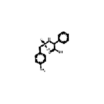 Cc1ccc(CP(=O)(O)NC(C(=O)O)c2ccccc2)cc1